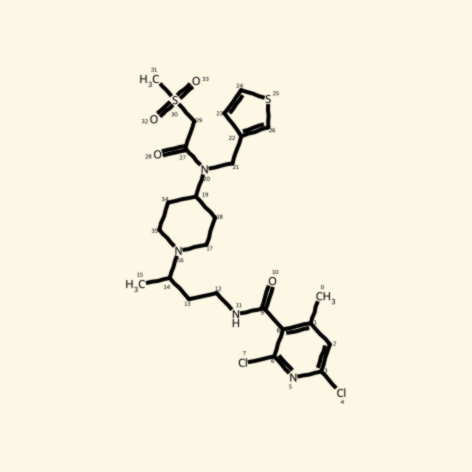 Cc1cc(Cl)nc(Cl)c1C(=O)NCCC(C)N1CCC(N(Cc2ccsc2)C(=O)CS(C)(=O)=O)CC1